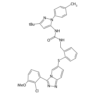 COc1cccc(-c2nnc3ccc(Sc4ccccc4CNC(=O)Nc4cc(C(C)(C)C)nn4-c4ccc(C)cc4)cn23)c1Cl